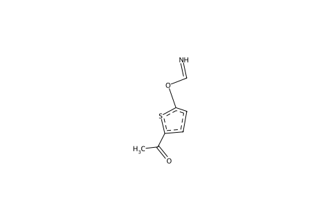 CC(=O)c1ccc(OC=N)s1